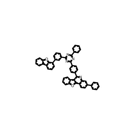 c1ccc(-c2ccc3c(c2)nc(-c2ccc(-c4nc(-c5ccccc5)nc(-c5cccc(-c6cccc7c6oc6ccccc67)c5)n4)cc2)c2c4ccccc4oc32)cc1